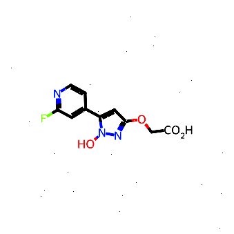 O=C(O)COc1cc(-c2ccnc(F)c2)n(O)n1